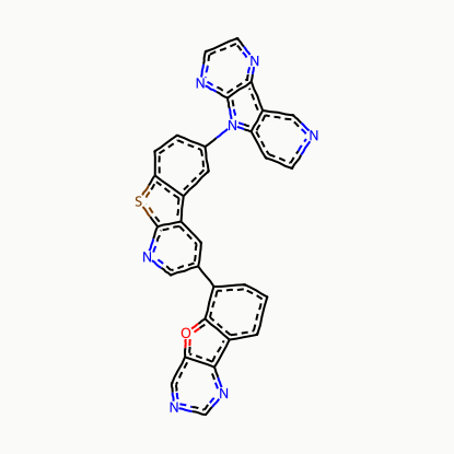 c1cc(-c2cnc3sc4ccc(-n5c6ccncc6c6nccnc65)cc4c3c2)c2oc3cncnc3c2c1